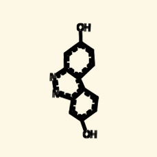 Oc1ccc2c(c1)nnc1cc(O)ccc12